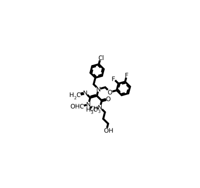 C=N/C(=C(/C(=O)N(C)CCCO)N(COc1cccc(F)c1F)Cc1ccc(Cl)cc1)N(C)C=O